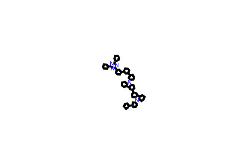 c1ccc(-c2cccc(-n3c4ccccc4c4cc(-c5ccc6c(c5)c5ccccc5n6-c5cccc(-c6cccc(-c7cccc(-c8nc(-c9ccccc9)nc(-c9ccccc9)n8)c7)c6)c5)ccc43)c2)cc1